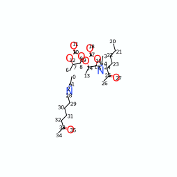 CC#N.CC#N.CC1COC(=O)O1.CC1COC(=O)O1.CCCCCC(C)=O.CCCCCC(C)=O